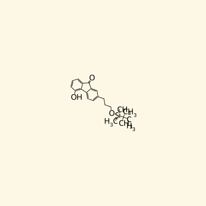 CC(C)(C)[Si](C)(C)OCCCc1ccc2c(c1)C(=O)c1cccc(O)c1-2